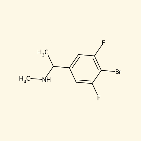 CNC(C)c1cc(F)c(Br)c(F)c1